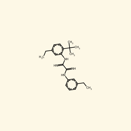 CCc1cccc(NC(=N)C(=N)Nc2cc(CC)ccc2C(C)(C)C)c1